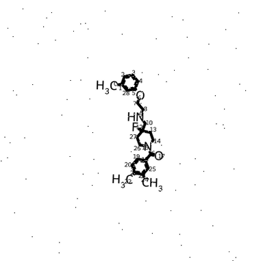 Cc1cccc(OCCNCC2(F)CCN(C(=O)c3ccc(C)c(C)c3)CC2)c1